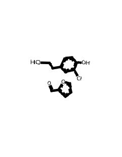 O=Cc1ccco1.OCCc1ccc(O)c(Cl)c1